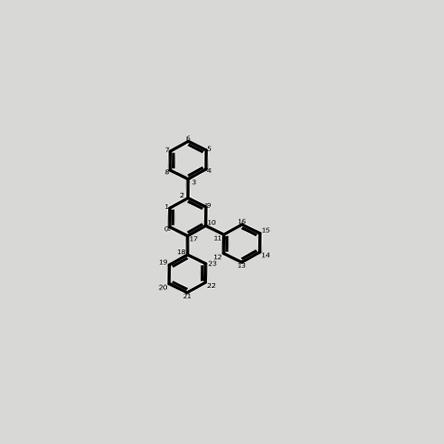 [c]1cc(-c2ccccc2)[c]c(-c2ccccc2)c1-c1ccccc1